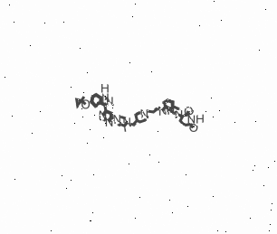 C[C@H]1CN(c2cc(-c3n[nH]c4ccc(OC5(C)CC5)cc34)ncn2)CCN1CC1CCN(CCCNc2cccc3c2CN(C2CCC(=O)NC2=O)C3)CC1